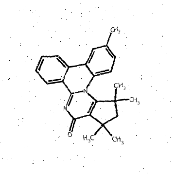 Cc1ccc2c(c1)c1ccccc1c1nc(=O)c3c(n21)C(C)(C)CC3(C)C